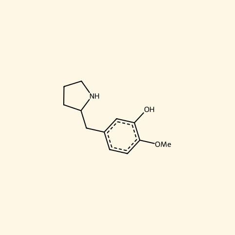 COc1ccc(CC2CCCN2)cc1O